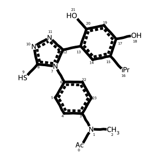 CC(=O)N(C)c1ccc(-n2c(S)nnc2-c2cc(C(C)C)c(O)cc2O)cc1